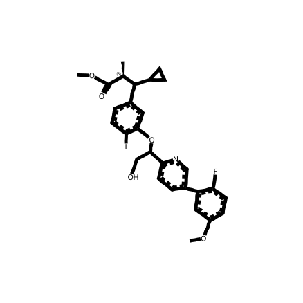 COC(=O)[C@@H](C)C(c1ccc(I)c(OC(CO)c2ccc(-c3cc(OC)ccc3F)cn2)c1)C1CC1